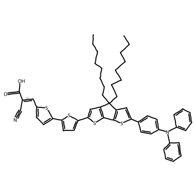 CCCCCCCCC1(CCCCCCCC)c2cc(-c3ccc(N(c4ccccc4)c4ccccc4)cc3)sc2-c2sc(-c3ccc(-c4ccc(/C=C(\C#N)C(=O)O)s4)s3)cc21